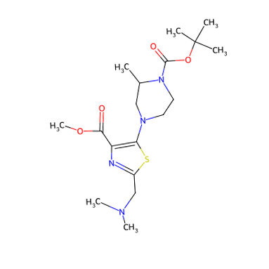 COC(=O)c1nc(CN(C)C)sc1N1CCN(C(=O)OC(C)(C)C)C(C)C1